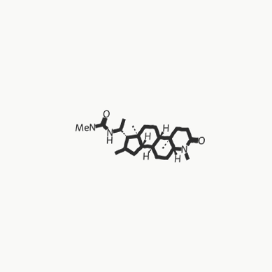 CNC(=O)NC(C)[C@H]1C(C)C[C@H]2[C@@H]3CC[C@H]4N(C)C(=O)CC[C@]4(C)[C@H]3CC[C@]12C